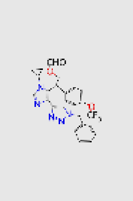 O=COCC(c1ccc(OC(F)(F)F)cc1)c1c(-c2cn(Cc3ccccc3)nn2)ncn1C1CC1